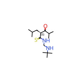 CC(C)C[C@@H](C(=O)C(C)C)C(=S)NCNC(C)(C)C